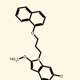 O=C(O)Oc1cc2ccc(Cl)cc2n1CCCOc1cccc2ccccc12